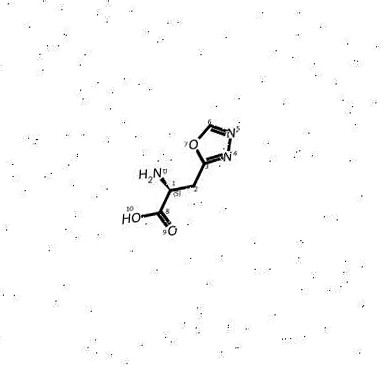 N[C@@H](Cc1nnco1)C(=O)O